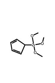 C[O][Zr]([O]C)([O]C)[CH]1C=CC=C1